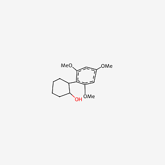 COc1cc(OC)c(C2CCCCC2O)c(OC)c1